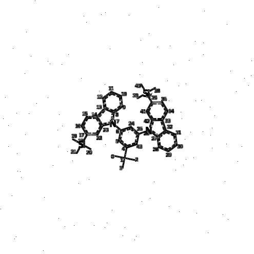 CC(C)(C)c1cc(-n2c3ccccc3c3ccc([Si](C)(C)C)cc32)cc(-n2c3ccccc3c3ccc([Si](C)(C)C)cc32)c1